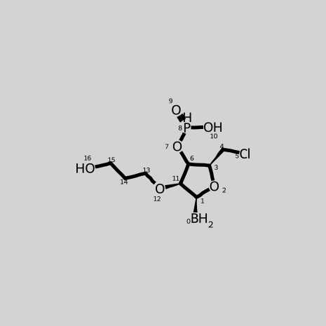 B[C@@H]1O[C@H](CCl)C(O[PH](=O)O)[C@@H]1OCCCO